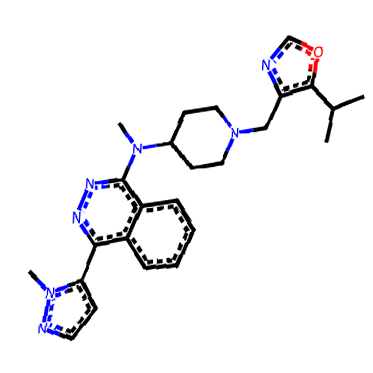 CC(C)c1ocnc1CN1CCC(N(C)c2nnc(-c3ccnn3C)c3ccccc23)CC1